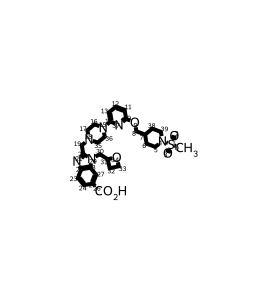 CS(=O)(=O)N1CCC(COc2cccc(N3CCN(Cc4nc5ccc(C(=O)O)cc5n4CC4CCO4)CC3)n2)CC1